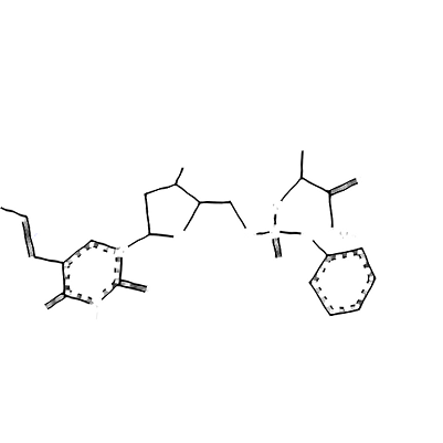 C/C=C/c1cn(C2CC(Cl)C(COP(=O)(NC(C)C(=O)OC)Oc3ccccc3)O2)c(=O)[nH]c1=O